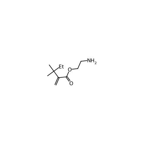 C=C(C(=O)OCCN)C(C)(C)CC